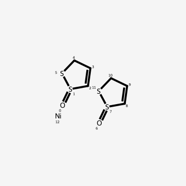 O=S1C=CCS1.O=S1C=CCS1.[Ni]